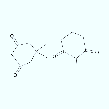 CC1(C)CC(=O)CC(=O)C1.CC1C(=O)CCCC1=O